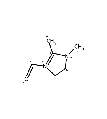 CC1=[N+](C=O)CCN1C